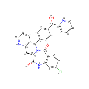 O=C1Nc2cc(Cl)ccc2C(=O)N(Cc2ccc(C(O)c3ccccn3)cc2)[C@@H]1Cc1ccccn1